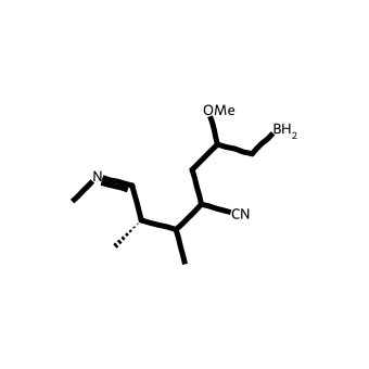 BCC(CC(C#N)C(C)[C@H](C)/C=N\C)OC